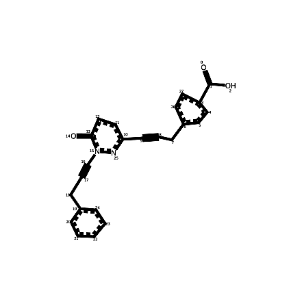 O=C(O)c1ccc(CC#Cc2ccc(=O)n(C#CCc3ccccc3)n2)cc1